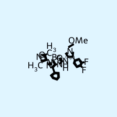 COCCN1C[C@@H](NC(=O)Nc2c(-c3ccccc3)nn(-c3c(C)noc3C)c2Br)[C@H](c2ccc(F)c(F)c2)C1